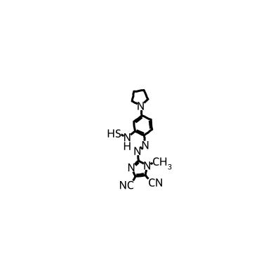 Cn1c(N=Nc2ccc(N3CCCC3)cc2NS)nc(C#N)c1C#N